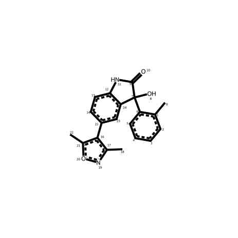 Cc1ccccc1C1(O)C(=O)Nc2ccc(-c3c(C)noc3C)cc21